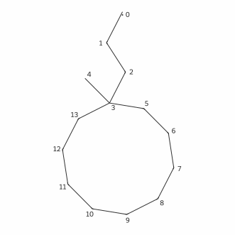 [CH2]CCC1(C)CCCCCCCCC1